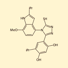 COc1ccc(-n2c(S)nnc2-c2cc(C(C)C)c(O)cc2O)c2cc(C(C)C)[nH]c12